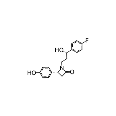 O=C1C[C@H](c2ccc(O)cc2)N1CC[C@H](O)c1ccc(F)cc1